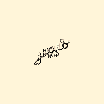 C=S1CCN(C(=O)CNc2n[nH]c3c(C(=O)NCc4ccc(F)c(Cl)c4)ncnc23)C1